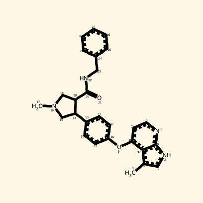 Cc1c[nH]c2nccc(Oc3ccc(C4CN(C)CC4C(=O)NCc4ccccc4)cc3)c12